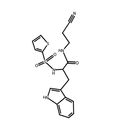 N#CCCNC(=O)C(Cc1c[nH]c2ccccc12)NS(=O)(=O)c1cccs1